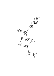 O=S([O-])[O-].O=S([O-])[O-].[H+].[H+].[Li+].[Na+]